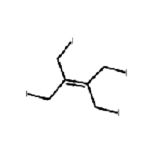 ICC(CI)=C(CI)CI